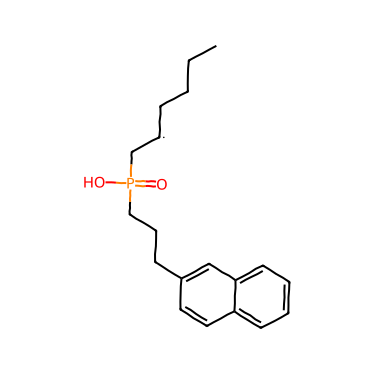 CCCC[CH]CP(=O)(O)CCCc1ccc2ccccc2c1